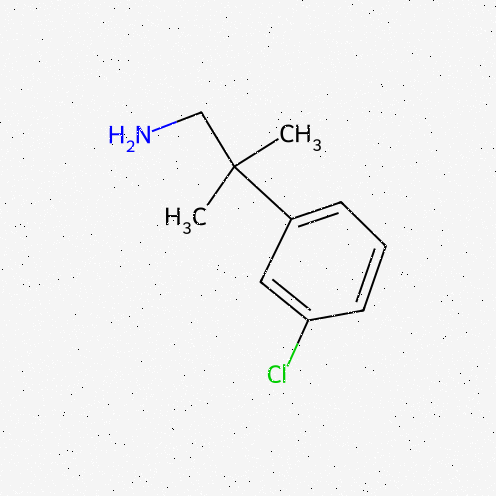 CC(C)(CN)c1cccc(Cl)c1